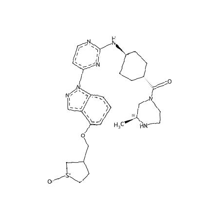 C[C@H]1CN(C(=O)[C@H]2CC[C@H](Nc3nccc(-n4ncc5c(OCC6CC[S+]([O-])C6)cccc54)n3)CC2)CCN1